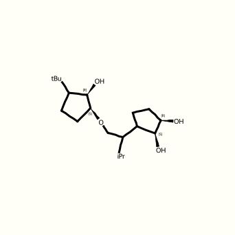 CC(C)C(CO[C@H]1CCC(C(C)(C)C)[C@H]1O)C1CC[C@@H](O)[C@H]1O